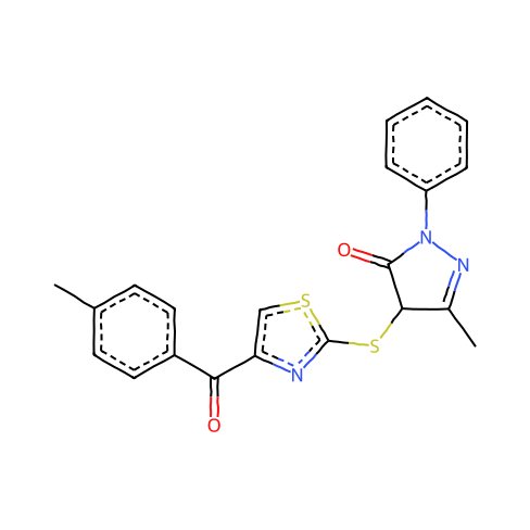 CC1=NN(c2ccccc2)C(=O)C1Sc1nc(C(=O)c2ccc(C)cc2)cs1